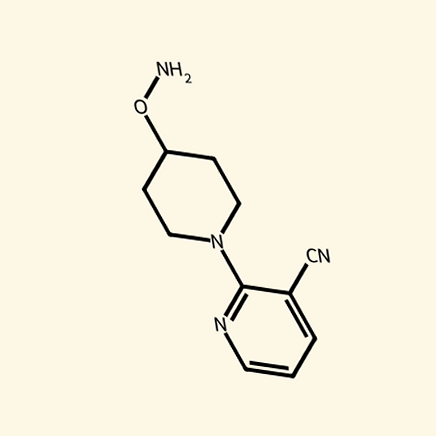 N#Cc1cccnc1N1CCC(ON)CC1